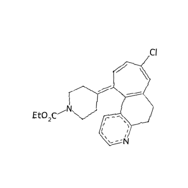 CCOC(=O)N1CCC(=C2C=CC(Cl)=CC3=C2c2cccnc2CC3)CC1